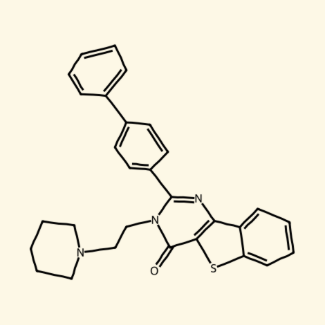 O=c1c2sc3ccccc3c2nc(-c2ccc(-c3ccccc3)cc2)n1CCN1CCCCC1